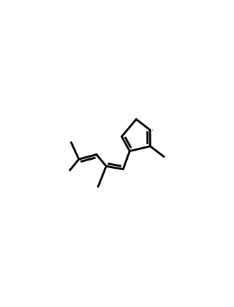 CC1=[C]CC=C1C=C(C)C=C(C)C